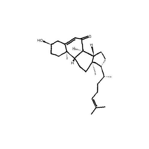 CC(C)=CCC[C@@H](C)[C@H]1CC[C@H]2[C@@H]3C(=O)C=C4C[C@H](O)CC[C@]4(C)[C@H]3CC[C@]12C